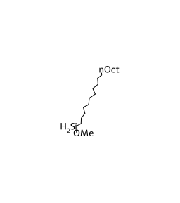 CCCCCCCCCCCCCCCCCCC[SiH2]OC